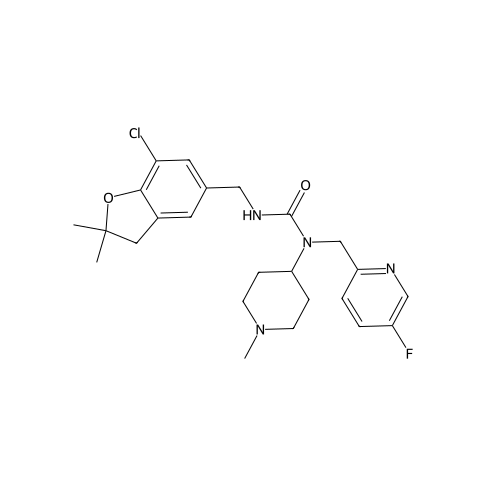 CN1CCC(N(Cc2ccc(F)cn2)C(=O)NCc2cc(Cl)c3c(c2)CC(C)(C)O3)CC1